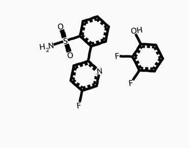 NS(=O)(=O)c1ccccc1-c1ccc(F)cn1.Oc1cccc(F)c1F